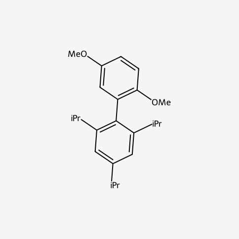 COc1ccc(OC)c(-c2c(C(C)C)cc(C(C)C)cc2C(C)C)c1